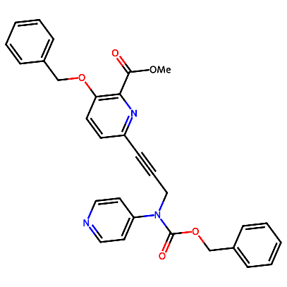 COC(=O)c1nc(C#CCN(C(=O)OCc2ccccc2)c2ccncc2)ccc1OCc1ccccc1